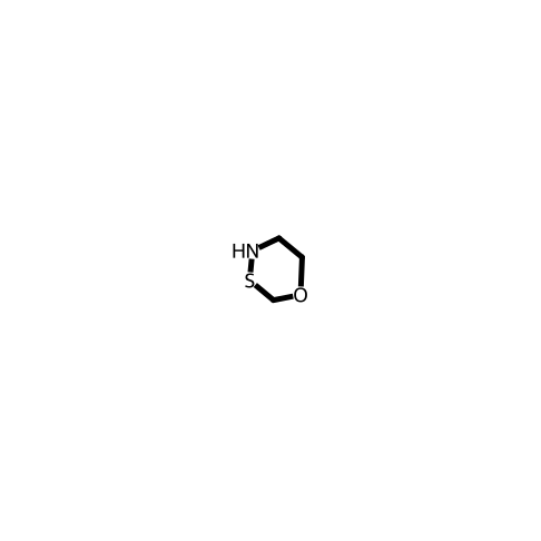 C1COCSN1